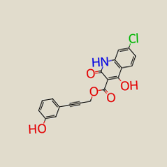 O=C(OCC#Cc1cccc(O)c1)c1c(O)c2ccc(Cl)cc2[nH]c1=O